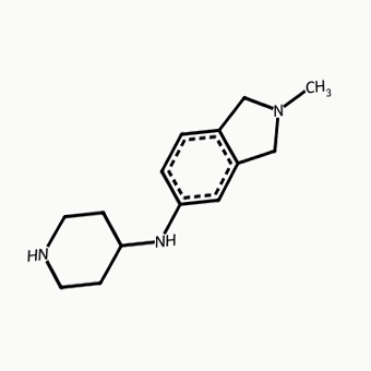 CN1Cc2ccc(NC3CCNCC3)cc2C1